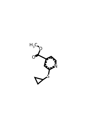 COC(=O)c1ccnc(SC2CC2)c1